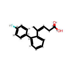 C/C(=C/CC(=O)O)c1ccccc1-c1ccc(F)cc1